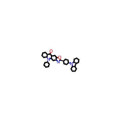 O=c1c2ccccc2n(-c2ccccc2)c2cc3nc(-c4ccc(-n5c6ccccc6c6ccccc65)cc4)oc3cc12